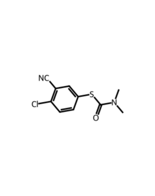 CN(C)C(=O)Sc1ccc(Cl)c(C#N)c1